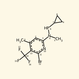 Cc1cc(N(C)PC2CC2)nc(Br)c1C(F)(F)F